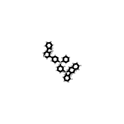 c1ccc(N(c2ccc(-c3cncc4c3oc3ccccc34)cc2)c2cccc(-n3c4ccccc4c4cc5ccccc5cc43)c2)cc1